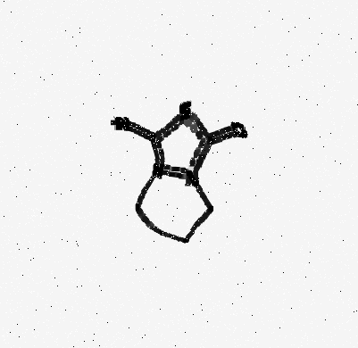 [N]=c1sc(=O)n2n1CCCC2